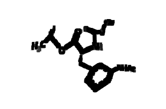 CC(=O)Nc1cccc(C[C@@H](NC(=O)OC(C)(C)C)C(=O)OC(C)I)c1